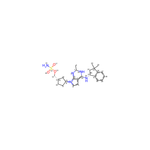 CC1N=c2c(ccn2[C@H]2CC[C@H](COS(N)(=O)=O)C2)=C(N[C@@H]2CC(C)(C)c3ccccc32)N1